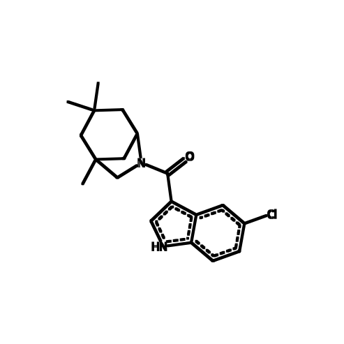 CC1(C)CC2CC(C)(CN2C(=O)c2c[nH]c3ccc(Cl)cc23)C1